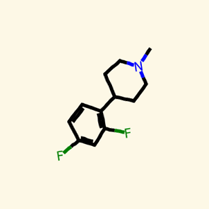 CN1CCC(c2ccc(F)cc2F)CC1